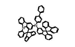 c1ccc(-c2ccc(N(c3ccc4c(c3)C3(c5ccccc5-c5ccccc53)c3ccccc3-4)c3cc4c5c(c3)c3ccccc3n5-c3ccccc3C43c4ccccc4-c4ccccc43)cc2)cc1